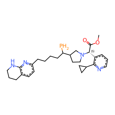 COC(=O)[C@H](c1cccnc1C1CC1)N1CCC(C(P)CCCCc2ccc3c(n2)NCCC3)C1